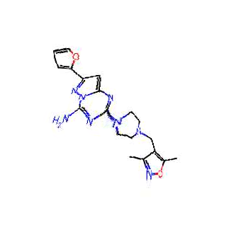 Cc1noc(C)c1CN1CCN(c2nc(N)n3nc(-c4ccco4)cc3n2)CC1